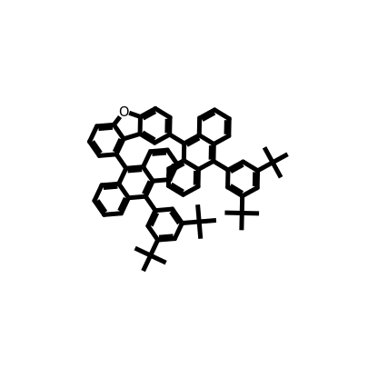 CC(C)(C)c1cc(-c2c3ccccc3c(-c3ccc4oc5cccc(-c6c7ccccc7c(-c7cc(C(C)(C)C)cc(C(C)(C)C)c7)c7ccccc67)c5c4c3)c3ccccc23)cc(C(C)(C)C)c1